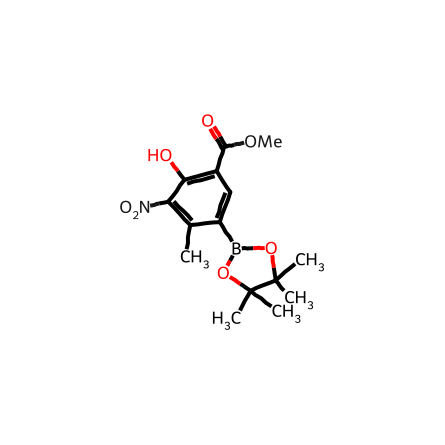 COC(=O)c1cc(B2OC(C)(C)C(C)(C)O2)c(C)c([N+](=O)[O-])c1O